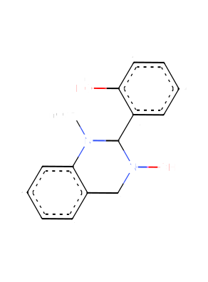 CCCCCCCCN1c2ccccc2CN(O)C1c1ccccc1O